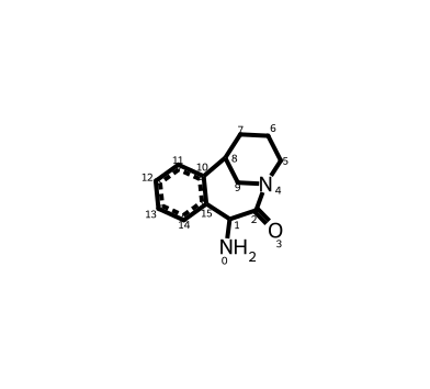 NC1C(=O)N2CCCC(C2)c2ccccc21